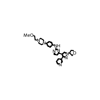 COCCN1CCN(c2ccc(Nc3nccc(-c4cn(C5CCOC5)nc4-c4cccnc4)n3)cc2)CC1